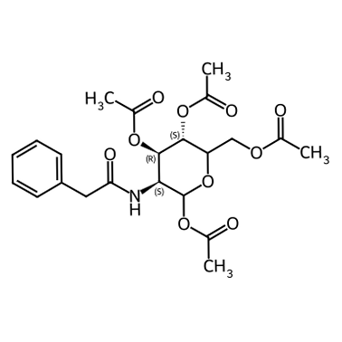 CC(=O)OCC1OC(OC(C)=O)[C@@H](NC(=O)Cc2ccccc2)[C@@H](OC(C)=O)[C@@H]1OC(C)=O